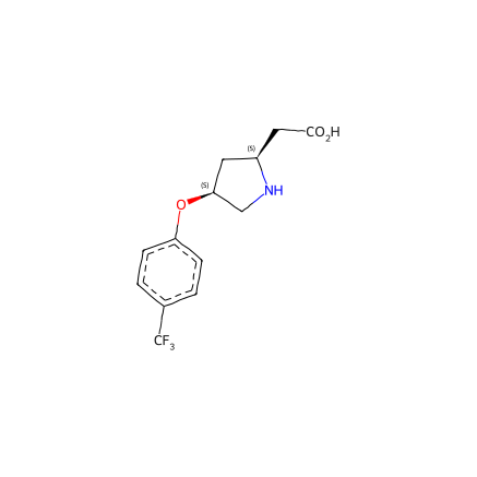 O=C(O)C[C@@H]1C[C@H](Oc2ccc(C(F)(F)F)cc2)CN1